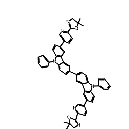 CC1(C)CN=C(c2ccc(-c3ccc4c(c3)c3cc(-c5ccc6c(c5)c5cc(-c7ccc(C8=NCC(C)(C)O8)nc7)ccc5n6-c5ccccc5)ccc3n4-c3ccccc3)cn2)O1